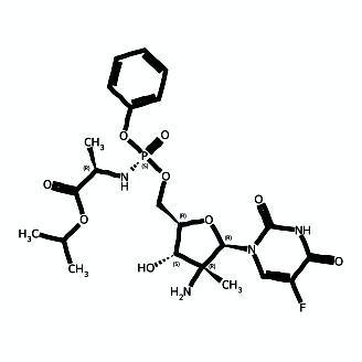 CC(C)OC(=O)[C@@H](C)N[P@](=O)(OC[C@H]1O[C@@H](n2cc(F)c(=O)[nH]c2=O)[C@](C)(N)[C@@H]1O)Oc1ccccc1